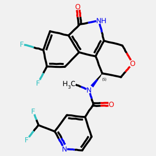 CN(C(=O)c1ccnc(C(F)F)c1)[C@@H]1COCc2[nH]c(=O)c3cc(F)c(F)cc3c21